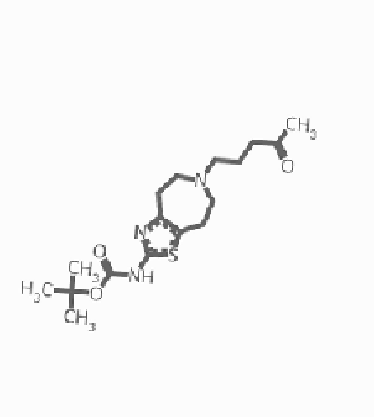 CC(=O)CCCN1CCc2nc(NC(=O)OC(C)(C)C)sc2CC1